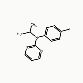 CC(C)N(c1ccc(I)cc1)c1ncccn1